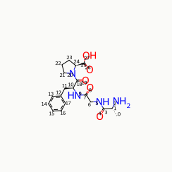 C[C@@H](N)C(=O)NCC(=O)N[C@@H](Cc1ccccc1)C(=O)N1CCC[C@H]1C(=O)O